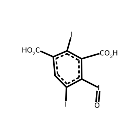 O=Ic1c(I)cc(C(=O)O)c(I)c1C(=O)O